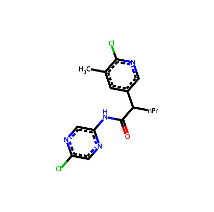 CCCC(C(=O)Nc1cnc(Cl)cn1)c1cnc(Cl)c(C)c1